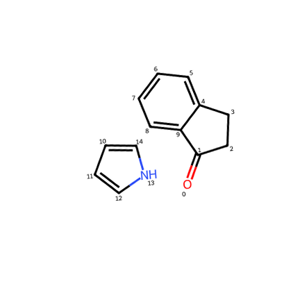 O=C1CCc2ccccc21.c1cc[nH]c1